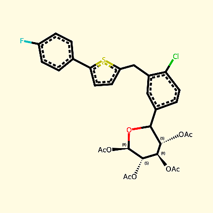 CC(=O)O[C@H]1OC(c2ccc(Cl)c(Cc3ccc(-c4ccc(F)cc4)s3)c2)[C@H](OC(C)=O)[C@@H](OC(C)=O)[C@@H]1OC(C)=O